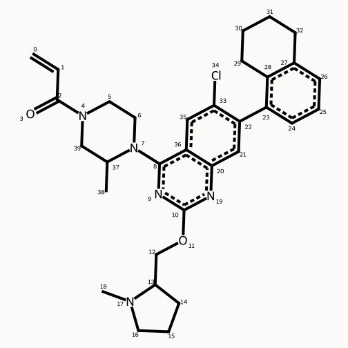 C=CC(=O)N1CCN(c2nc(OCC3CCCN3C)nc3cc(-c4cccc5c4CCCC5)c(Cl)cc23)C(C)C1